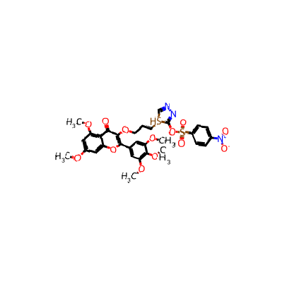 COc1cc(OC)c2c(=O)c(OCCC[SH]3C=NN=C3OS(=O)(=O)c3ccc([N+](=O)[O-])cc3)c(-c3cc(OC)c(OC)c(OC)c3)oc2c1